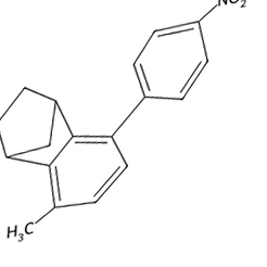 Cc1ccc(-c2ccc([N+](=O)[O-])cc2)c2c1C1CCC2C1